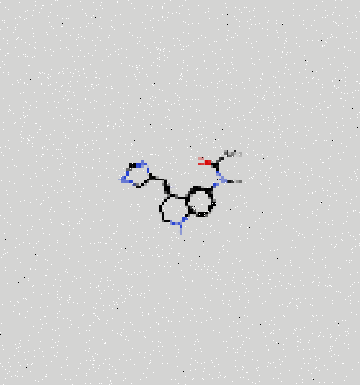 CCN(C(=O)NC)c1ccc2c(c1)/C(=C/C1CNC=N1)CCN2